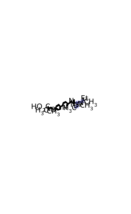 C\C=C/C(=C\C(C)=C(\C)CC)c1cnc(-c2ccc(-c3ccc(OCC(C)(C)C(=O)O)cc3)nc2)[nH]1